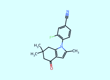 Cc1cc2c(n1-c1ccc(C#N)cc1F)CC(C)(C)CC2=O